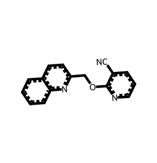 N#Cc1cccnc1OCc1ccc2ccccc2n1